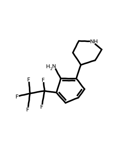 Nc1c(C2CCNCC2)cccc1C(F)(F)C(F)(F)F